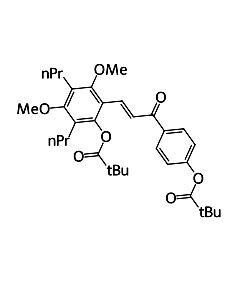 CCCc1c(OC)c(C=CC(=O)c2ccc(OC(=O)C(C)(C)C)cc2)c(OC(=O)C(C)(C)C)c(CCC)c1OC